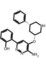 Nc1nnc(-c2ccccc2O)cc1O[C@H]1CNC[C@@H](c2ccccc2)C1